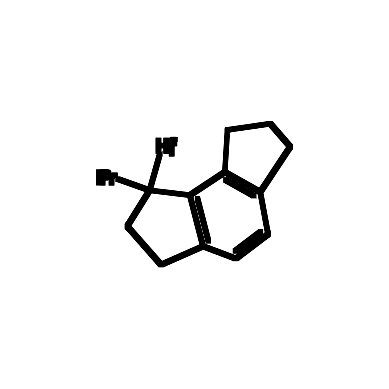 CC(C)[C]1([Hf])CCc2ccc3c(c21)CCC3